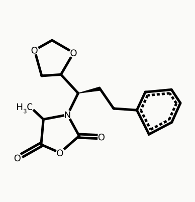 CC1C(=O)OC(=O)N1[C@H](CCc1ccccc1)C1COCO1